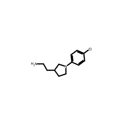 NCCC1CCN(c2[c]cc(Cl)cc2)C1